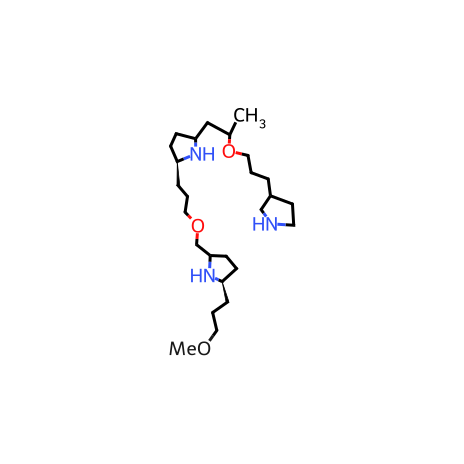 COCCC[C@@H]1CCC(COCCC[C@H]2CCC(CC(C)OCCCC3CCNC3)N2)N1